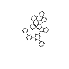 c1ccc(-c2cccc(-c3nc(-c4ccccc4)nc(-n4c5ccccc5c5c6c7ccccc7n(-c7c(-c8ccccc8)cccc7-c7ccccc7)c6ccc54)n3)c2)cc1